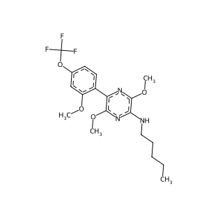 CCCCCNc1nc(OC)c(-c2ccc(OC(F)(F)F)cc2OC)nc1OC